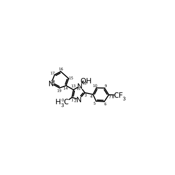 Cc1nc(-c2ccc(C(F)(F)F)cc2)n(O)c1-c1cccnc1